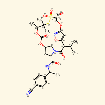 CC(NC(=O)[C@@H]1C[C@@H](OC(=O)OC(C)C(C)(C)SS(C)(=O)=O)CN1C(=O)C(c1cc(OCC=O)no1)C(C)C)c1ccc(C#N)cc1